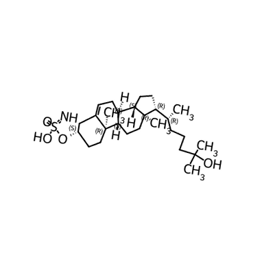 C[C@H](CCCC(C)(C)O)[C@H]1CC[C@H]2[C@@H]3CC=C4C[C@@H](OS(=N)(=O)O)CC[C@]4(C)[C@H]3CC[C@]12C